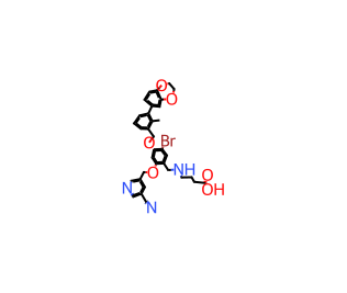 Cc1c(COc2cc(OCc3cncc(C#N)c3)c(CNCCCC(=O)O)cc2Br)cccc1-c1ccc2c(c1)OCCO2